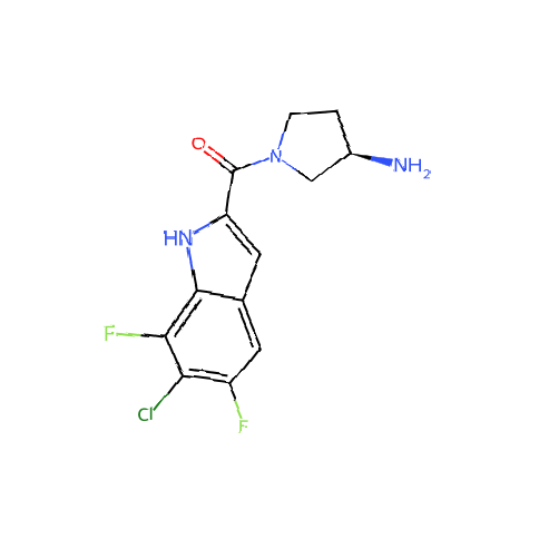 N[C@@H]1CCN(C(=O)c2cc3cc(F)c(Cl)c(F)c3[nH]2)C1